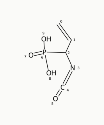 C=CC(N=C=O)P(=O)(O)O